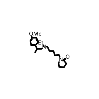 CCN(CCCCCN1CCCCC1=O)CC(C)c1ccc(OC)cc1